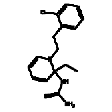 CCC1(NC(N)=S)C=CC=CN1CCc1ccccc1Cl